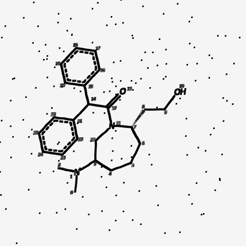 CN(C)C1CCC[C@@H](CCO)N(C(=O)C(c2ccccc2)c2ccccc2)C1